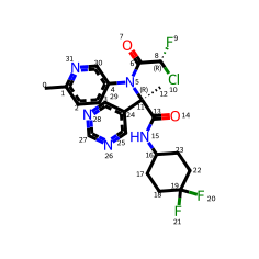 Cc1ccc(N(C(=O)[C@H](F)Cl)[C@@](C)(C(=O)NC2CCC(F)(F)CC2)c2cncnc2)cn1